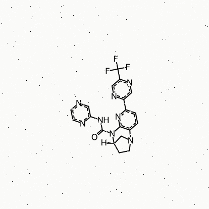 O=C(Nc1cnccn1)N1c2nc(-c3cnc(C(F)(F)F)cn3)ccc2N2CC[C@H]1C2